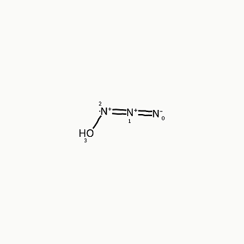 [N-]=[N+]=[N+]O